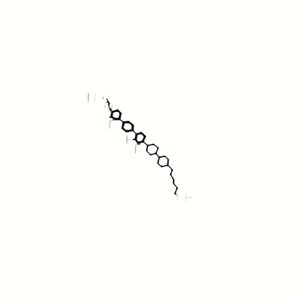 CCCCCCCC1CCC(C2CCC(c3ccc(-c4ccc(-c5ccc(OCC)c(F)c5F)cc4)c(F)c3F)CC2)CC1